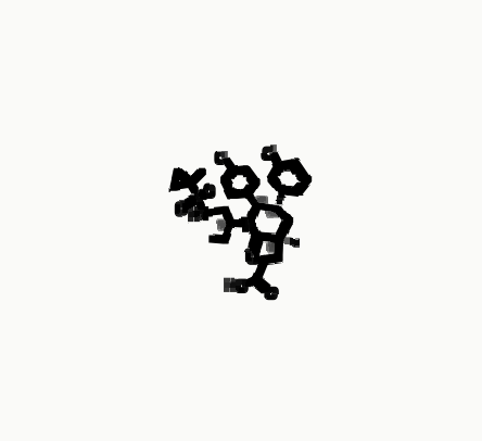 CC[C@@H](CNS(=O)(=O)C1(C)CC1)N1C(=O)[C@](C)(CCC(=O)O)C[C@@H](c2cccc(Cl)c2)[C@@H]1c1ccc(Cl)cc1